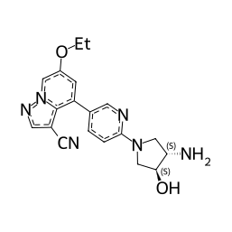 CCOc1cc(-c2ccc(N3C[C@H](N)[C@@H](O)C3)nc2)c2c(C#N)cnn2c1